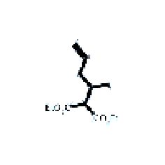 C=CCC(C)C(C(=O)OCC)C(=O)OCC